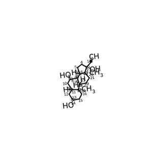 C#C[C@]1(O)CC[C@H]2[C@@H]3[C@@H](O)C[C@H]4C[C@@H](O)CC[C@]4(C)[C@H]3CC[C@@]21C